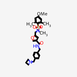 COc1cc(C)c(S(=O)(=O)N(C)Cc2cc(C(=O)NCc3ccc(CN4CCC4)cc3)co2)c(C)c1